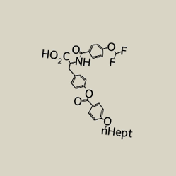 CCCCCCCOc1ccc(C(=O)Oc2ccc(C[C@H](NC(=O)c3ccc(OC(F)F)cc3)C(=O)O)cc2)cc1